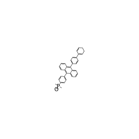 CP(C)(=O)c1ccc(-c2c3ccccc3c(-c3ccc(C4=CCCC=C4)cc3)c3ccccc23)cc1